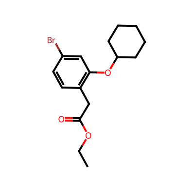 CCOC(=O)Cc1ccc(Br)cc1OC1CCCCC1